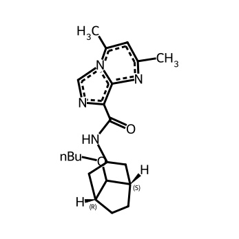 CCCCOC1[C@@H]2CC[C@H]1CC(NC(=O)c1ncn3c(C)cc(C)nc13)C2